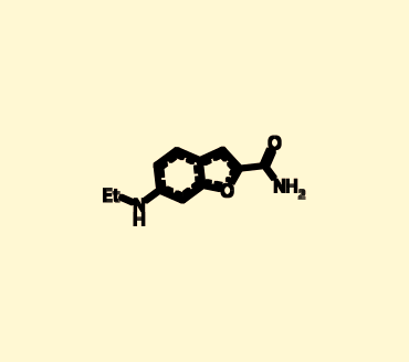 CCNc1ccc2cc(C(N)=O)oc2c1